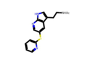 CC(=O)NCCc1c[nH]c2ncc(Sc3ccccn3)cc12